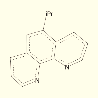 CC(C)c1cc2cccnc2c2ncccc12